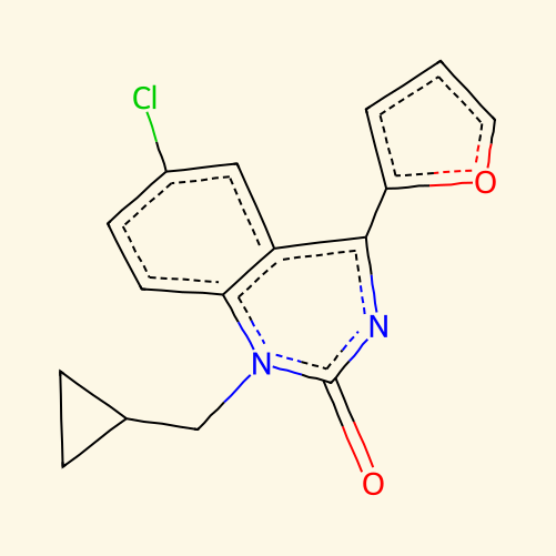 O=c1nc(-c2ccco2)c2cc(Cl)ccc2n1CC1CC1